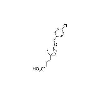 O=C(O)CCCC12CCC(OCc3ccc(Cl)cc3)(CC1)C2